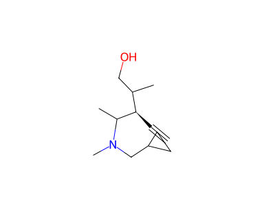 C#C[C@H](C(C)CO)C(C)N(C)CC1CC1